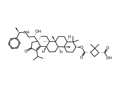 CC(C)C1=C2[C@H]3CC[C@@H]4[C@@]5(C)CC[C@H](OC(=O)[C@H]6C[C@@H](C(=O)O)C6(C)C)C(C)(C)[C@@H]5CC[C@@]4(C)[C@]3(C)CC[C@@]2([C@@H](O)CN[C@H](C)c2ccccc2)CC1=O